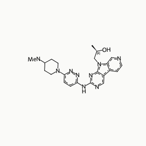 CNC1CCN(c2ccc(Nc3ncc4c5ccncc5n(C[C@@H](C)O)c4n3)nn2)CC1